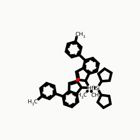 Cc1cccc(-c2cccc3c2C=C[CH]3[Hf]([CH3])([CH3])([CH]2C=Cc3c(-c4cccc(C)c4)cccc32)=[Si](C2CCCC2)C2CCCC2)c1